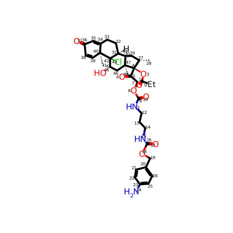 CCC(=O)O[C@]1(C(=O)COC(=O)NCCCNC(=O)OCc2ccc(N)cc2)[C@@H](C)CC2[C@@H]3CCC4=CC(=O)C=C[C@]4(C)[C@@]3(Cl)[C@@H](O)C[C@@]21C